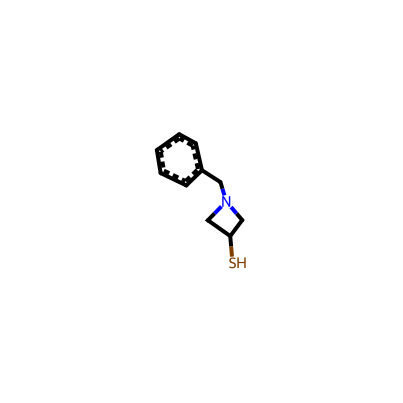 SC1CN(Cc2ccccc2)C1